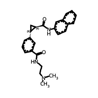 CN(C)CCNC(=O)c1cccc([C@@H]2C[C@H]2C(=O)Nc2ccc3ccccc3c2)c1